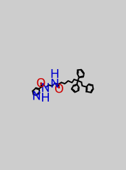 O=C(CCCCCC(CCc1ccccc1)(c1ccccc1)c1ccccc1)NCCNC(=O)c1cccnc1